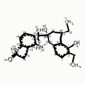 CCc1ccc2c(c1O)[C@H](CC)C[C@](O)(C(F)(F)F)[C@H]2Nc1cccc2[nH]c(=O)ccc12